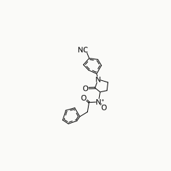 N#Cc1ccc(N2CCC([N+](=O)C(=O)Cc3ccccc3)C2=O)cc1